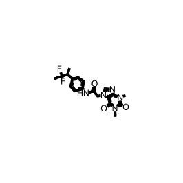 CC(c1ccc(NC(=O)Cn2cnc3c2c(=O)n(C)c(=O)n3C)cc1)C(C)(F)F